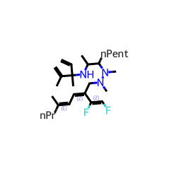 C=CC(C)(NC(C)C(CCCCC)N(C)N(C)CC(=C/C=C(\C)CCC)/C(F)=C/F)C(=C)C